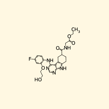 CCOC(=O)CNC(=O)C1CCc2[nH]c3ncnc(Nc4ccc(F)cc4OCCO)c3c2C1